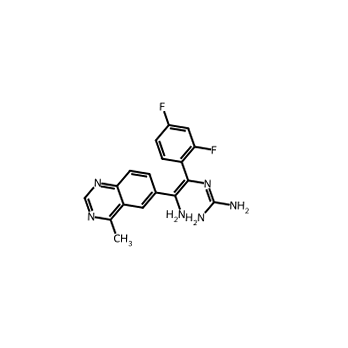 Cc1ncnc2ccc(/C(N)=C(/N=C(N)N)c3ccc(F)cc3F)cc12